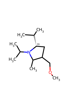 COCC1C[C@@H](C(C)C)N(C(C)C)C1C